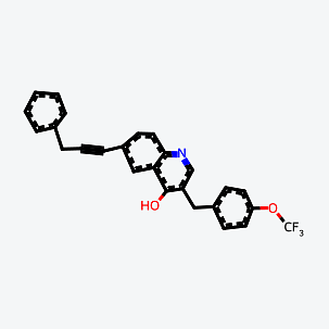 Oc1c(Cc2ccc(OC(F)(F)F)cc2)cnc2ccc(C#CCc3ccccc3)cc12